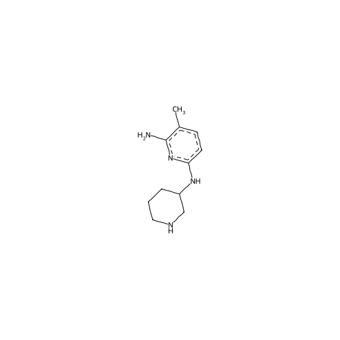 Cc1ccc(NC2CCCNC2)nc1N